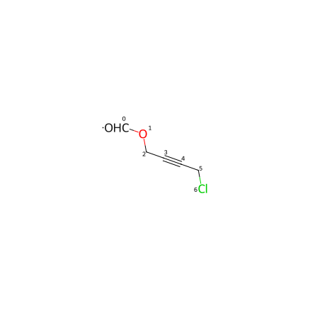 O=[C]OCC#CCCl